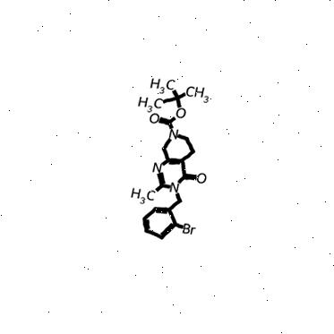 Cc1nc2c(c(=O)n1Cc1ccccc1Br)CCN(C(=O)OC(C)(C)C)C2